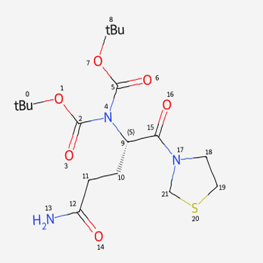 CC(C)(C)OC(=O)N(C(=O)OC(C)(C)C)[C@@H](CCC(N)=O)C(=O)N1CCSC1